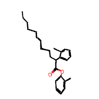 CCCCCCCCCCC(C(=O)Oc1ccccc1C)c1ccccc1C